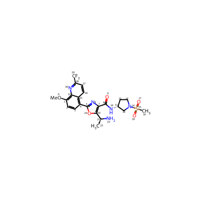 COc1ccc(-c2nc(C(=O)N[C@@H]3CCN(S(C)(=O)=O)C3)c([C@H](C)N)o2)c2ccc(C(F)(F)F)nc12